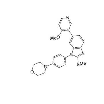 CNc1nc2ccc(-c3cnccc3OC)cc2n1-c1ccc(N2CCOCC2)cc1